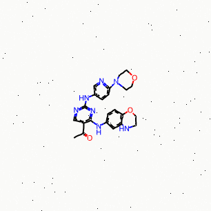 CC(=O)c1cnc(Nc2ccc(N3CCOCC3)nc2)nc1Nc1ccc2c(c1)NCCO2